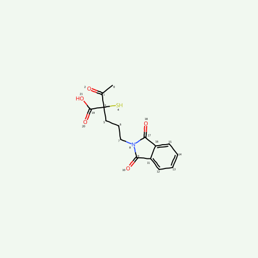 CC(=O)C(S)(CCCN1C(=O)c2ccccc2C1=O)C(=O)O